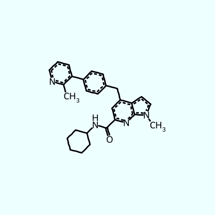 Cc1ncccc1-c1ccc(Cc2cc(C(=O)NC3CCCCC3)nc3c2ccn3C)cc1